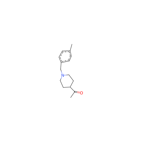 CC(=O)C1CCN(Cc2ccc(C)cc2)CC1